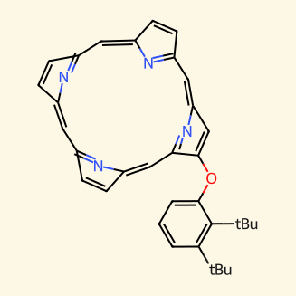 CC(C)(C)c1cccc(OC2=CC3=CC4=NC(=CC5=NC(=CC6=NC(=CC2=N3)C=C6)C=C5)C=C4)c1C(C)(C)C